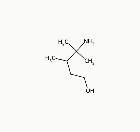 CC(CCO)C(C)(C)N